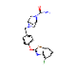 NC(=O)N1CC2CC1CN2Cc1ccc(Oc2nc3c(F)cccc3s2)cc1